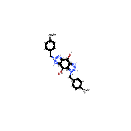 COc1ccc(Cn2nc3c(Br)c4nnn(Cc5ccc(OC)cc5)c4c(Br)c3n2)cc1